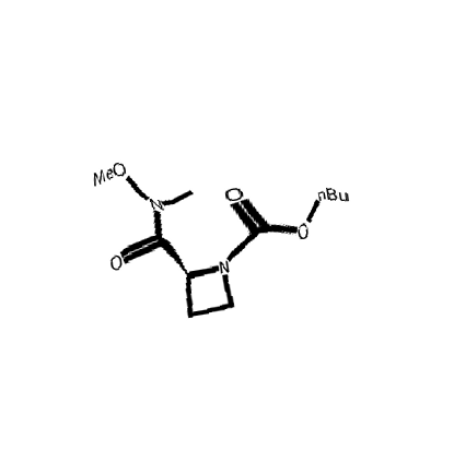 CCCCOC(=O)N1CC[C@H]1C(=O)N(C)OC